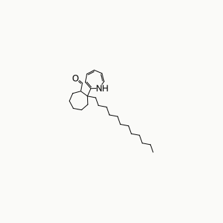 CCCCCCCCCCCCC1(C2=CC=CC=CN2)CCCCCC1C=O